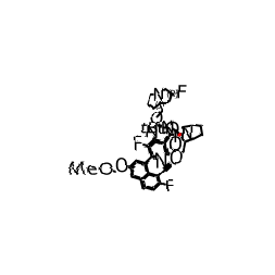 C#Cc1c(F)ccc2cc(OCOC)cc(-c3nc4c5c(nc(OC[C@@]67CCCN6C[C@H](F)C7)nc5c3F)N3CC5CCC(C3CO4)N5C(=O)OC(C)(C)C)c12